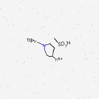 CCCCC1CCN(CCC)C1.CS(=O)(=O)O